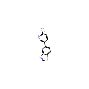 FC(F)(F)c1ccc(-c2ccc3scnc3c2)cn1